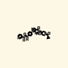 O=C(Nc1ccc(-n2ncc3c(=O)n(CC4(O)CCN(C(=O)C5CC5)CC4)cnc32)cc1)Nc1cccnc1